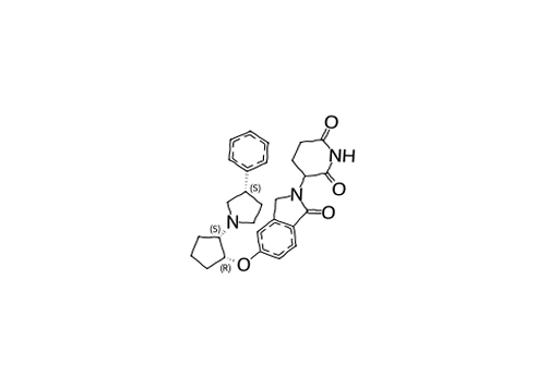 O=C1CCC(N2Cc3cc(O[C@@H]4CCC[C@@H]4N4CC[C@@H](c5ccccc5)C4)ccc3C2=O)C(=O)N1